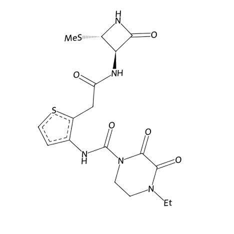 CCN1CCN(C(=O)Nc2ccsc2CC(=O)N[C@@H]2C(=O)N[C@H]2SC)C(=O)C1=O